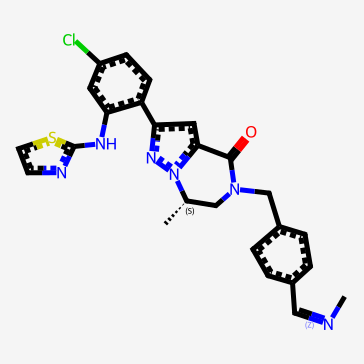 C/N=C\c1ccc(CN2C[C@H](C)n3nc(-c4ccc(Cl)cc4Nc4nccs4)cc3C2=O)cc1